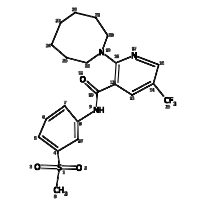 CS(=O)(=O)c1cccc(NC(=O)c2cc(C(F)(F)F)cnc2N2CCCCCCC2)c1